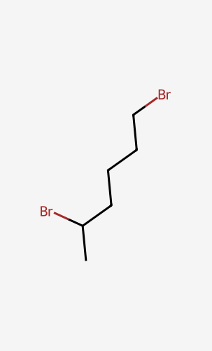 CC(Br)CCCCBr